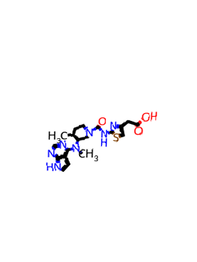 CC1CCN(C(=O)Nc2nc(CC(=O)O)cs2)CC1N(C)c1ncnc2[nH]ccc12